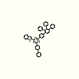 c1ccc(-c2ccc(-c3nc(-c4ccc(-c5ccc(-c6ccccc6)c(-c6ccccc6)c5-c5ccccc5)cc4)nc(-c4cc5ccccc5s4)n3)cc2)cc1